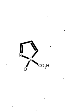 O=C(O)S1(O)C=CC=N1